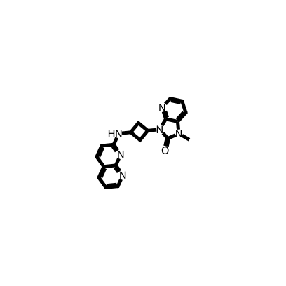 Cn1c(=O)n(C2CC(Nc3ccc4cccnc4n3)C2)c2ncccc21